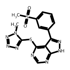 Cn1nnnc1Sc1ncnc2[nH]nc(-c3cccc(S(C)(=O)=O)c3)c12